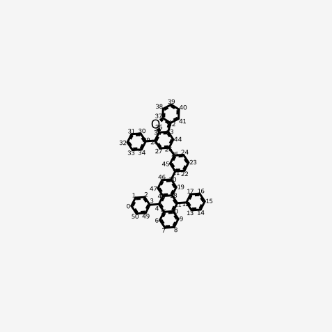 c1ccc(-c2c3ccccc3c(-c3ccccc3)c3cc(-c4cccc(-c5cc(-c6ccccc6)c6oc7ccccc7c6c5)c4)ccc23)cc1